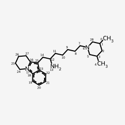 CC1CC(C)CN(CCCCCC(N)Cc2c3n(c4ccccc24)CCCC3)C1